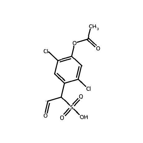 CC(=O)Oc1cc(Cl)c(C([C]=O)S(=O)(=O)O)cc1Cl